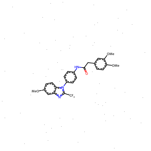 COc1ccc2c(c1)nc(C(F)(F)F)n2-c1ccc(NC(=O)Cc2ccc(OC)c(OC)c2)cc1